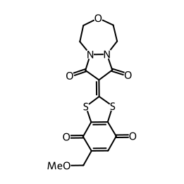 COCC1=CC(=O)C2=C(SC(=C3C(=O)N4CCOCCN4C3=O)S2)C1=O